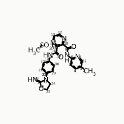 CS(=O)(=O)O.Cc1ccc(NC(=O)c2nccnc2C(=O)Nc2ccc(N3CCOC3=N)cc2)nc1